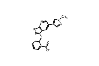 Cn1cc(-c2cnc3[nH]nc(Sc4ccccc4[N+](=O)[O-])c3c2)cn1